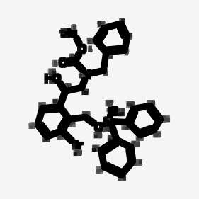 CC(C)(C)OC(=O)N(Cc1ccccc1)CC(O)c1cccc(Br)c1CO[Si](c1ccccc1)(c1ccccc1)C(C)(C)C